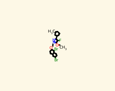 CCOc1c(F)c(-c2cccc(C)c2)nn1CCOc1ccc2cc(Br)ccc2c1Br